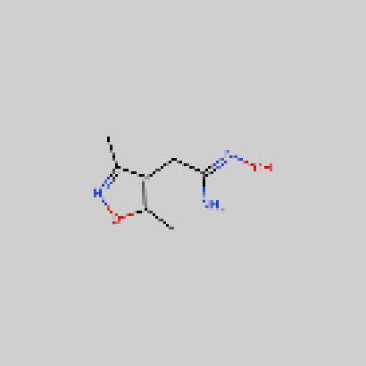 Cc1noc(C)c1C/C(N)=N/O